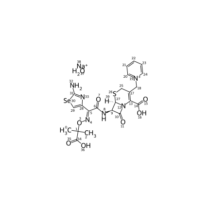 CC(C)(ON=C(C(=O)N[C@@H]1C(=O)N2C(C(=O)O)=C(C[n+]3ccccc3)CS[C@H]12)c1c[se]c(N)n1)C(=O)O.O.[Na+]